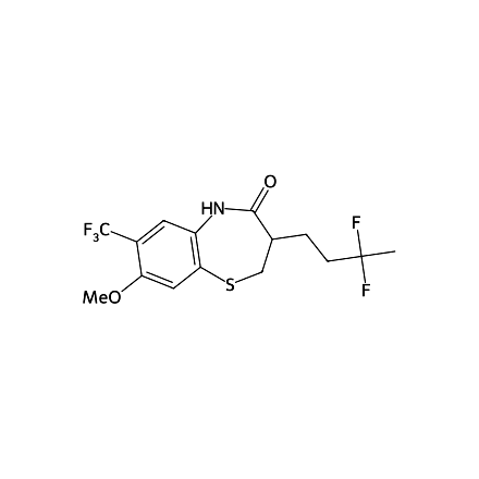 COc1cc2c(cc1C(F)(F)F)NC(=O)C(CCC(C)(F)F)CS2